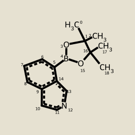 CC1(C)OB(c2cccc3ccncc23)OC1(C)C